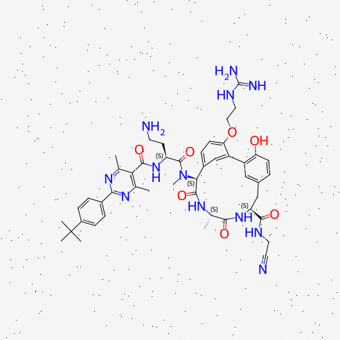 Cc1nc(-c2ccc(C(C)(C)C)cc2)nc(C)c1C(=O)N[C@@H](CCN)C(=O)N(C)[C@@H]1C(=O)N[C@@H](C)C(=O)N[C@H](C(=O)NCC#N)Cc2ccc(O)c(c2)-c2cc1ccc2OCCNC(=N)N